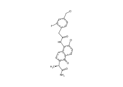 C[C@H](C(N)=O)n1ccc2c(NC(=O)Cc3ccc(CCl)cc3F)c(Cl)ccc2c1=O